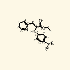 CCOC(=O)C(Cc1ccccn1)Nc1ccc([N+](=O)[O-])cc1